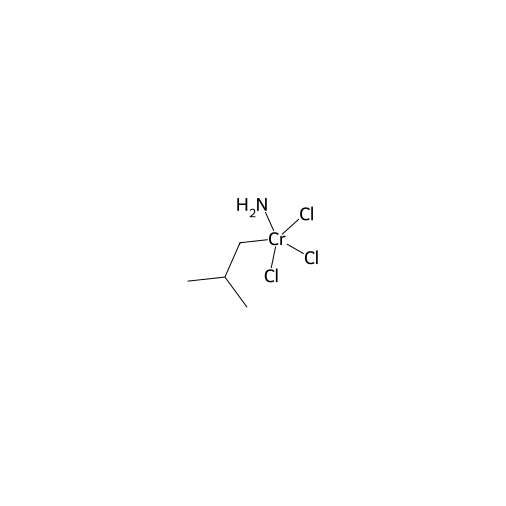 CC(C)[CH2][Cr]([NH2])([Cl])([Cl])[Cl]